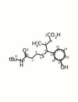 CC(CC(=O)O)C(SCCC(=O)NC(C)(C)C)c1cccc(O)c1